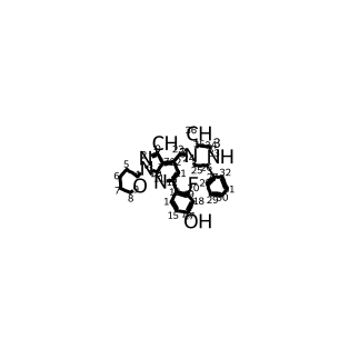 Cc1nn(C2CCCCO2)c2nc(-c3ccc(O)cc3F)cc(CN3C[C@H](c4ccccc4)NC[C@H]3C)c12